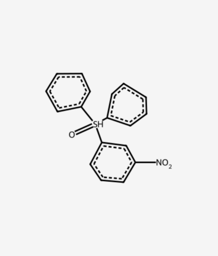 O=[N+]([O-])c1cccc([SH](=O)(c2ccccc2)c2ccccc2)c1